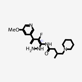 C=C(/C(F)=C(\NN)NC(=O)CC(C)CN1CCCCC1)c1cncc(OC)c1